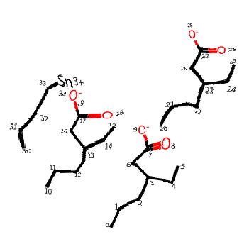 CCCC(CC)CC(=O)[O-].CCCC(CC)CC(=O)[O-].CCCC(CC)CC(=O)[O-].CCC[CH2][Sn+3]